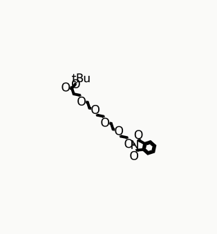 CC(C)(C)OC(=O)CCOCCOCCOCCOCCON1C(=O)c2ccccc2C1=O